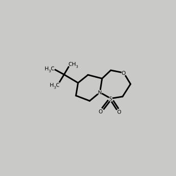 CC(C)(C)C1CCN2C(COCCS2(=O)=O)C1